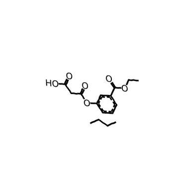 CCCC.CCOC(=O)c1cccc(OC(=O)CC(=O)O)c1